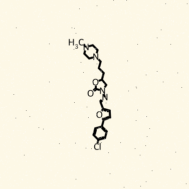 CN1CCN(CCCC2CN(N=Cc3ccc(-c4ccc(Cl)cc4)o3)C(=O)O2)CC1